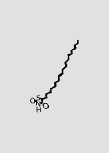 CCC=CCC=CCC=CCC=CCC=CCCCCC1SC(=O)NC1=O